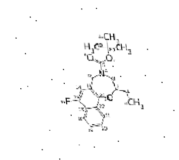 CC[C@@H]1CN(C(=O)OC(C)(C)C)Cc2cc(F)c3ccccc3c2O1